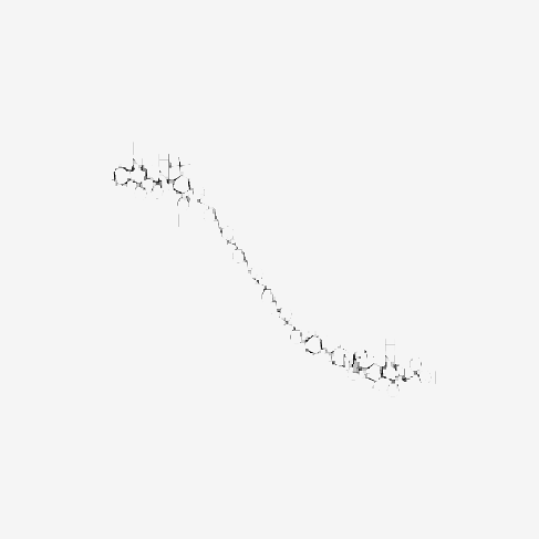 CC(C)(C)c1cc(OCCOCCOCCOCCOCCOCCOCCOc2ccc(C3CCN(S(=O)(=O)c4ccc5c(c4)NCN(CC(=O)O)C5=O)CC3)cc2)c(O)cc1NC(=O)c1c[nH]c2ccccc2c1=O